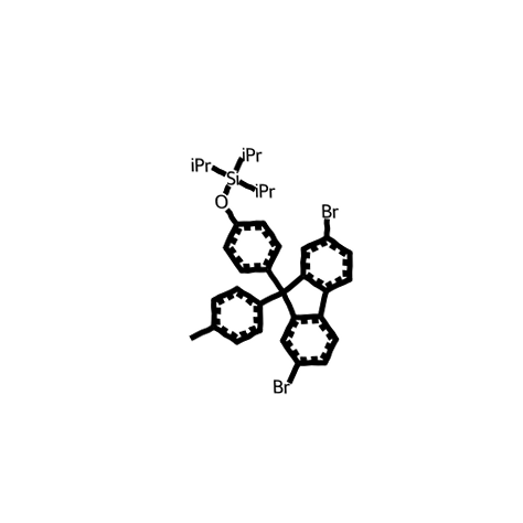 Cc1ccc(C2(c3ccc(O[Si](C(C)C)(C(C)C)C(C)C)cc3)c3cc(Br)ccc3-c3ccc(Br)cc32)cc1